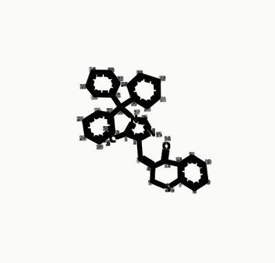 Cc1c(C=C2CSc3ccccc3C2=O)ncn1C(c1ccccc1)(c1ccccc1)c1ccccc1